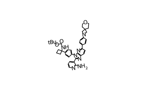 CC(C)(C)OC(=O)NC1(c2ccc(-n3c(-c4cccnc4N)nc4ccc(-c5ccc(N6CC7(CCOCC7)C6)cc5)nc43)cc2)CCC1